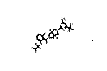 Cc1cc(C(C)(C)F)nc(N2C[C@H]3CN(C(=O)c4c(F)cccc4OC(F)(F)C(F)F)C[C@H]3C2)n1